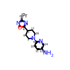 CC(C)c1noc(C2CCN(c3ccc(N)cn3)CC2)n1